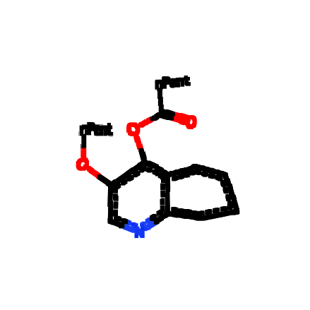 CCCCCOc1cnc2ccccc2c1OC(=O)CCCCC